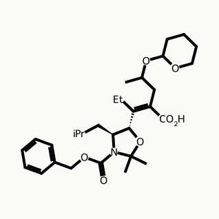 CCC(=C(CC(C)OC1CCCCO1)C(=O)O)[C@@H]1OC(C)(C)N(C(=O)OCc2ccccc2)[C@H]1CC(C)C